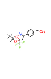 CC(C)(C)[Si](C)(C)OC1(C(F)(F)F)CC(c2ccc(CO)cc2)=NO1